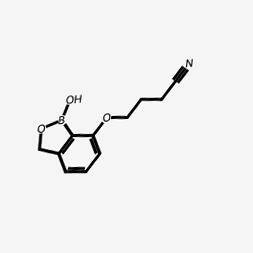 N#CCCCOc1cccc2c1B(O)OC2